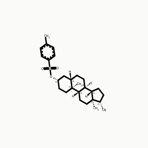 Cc1ccc(S(=O)(=O)O[C@H]2CC[C@@]3(C)[C@@H](CC[C@@H]4[C@@H]3CC[C@]3(C)[C@@H](C#N)CC[C@@H]43)C2)cc1